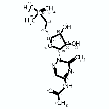 C=C1N=C(NC(C)=O)C=NN1[C@@H]1O[C@H](CCP(=C)(C)C)[C@@H](O)[C@H]1O